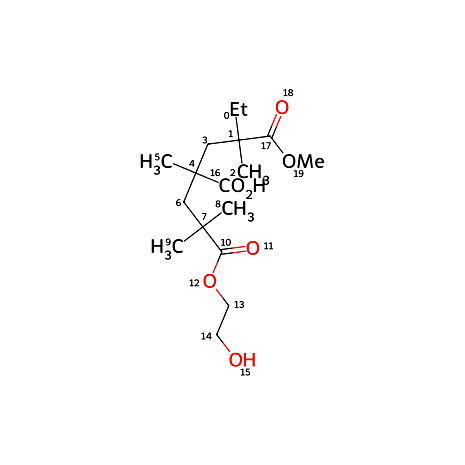 CCC(C)(CC(C)(CC(C)(C)C(=O)OCCO)C(=O)O)C(=O)OC